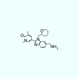 C/C(C=O)=C/C(=C\N(C)C)c1nc2ccc(CN)cc2n1CC1CCCCO1